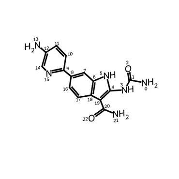 NC(=O)Nc1[nH]c2cc(-c3ccc(N)cn3)ccc2c1C(N)=O